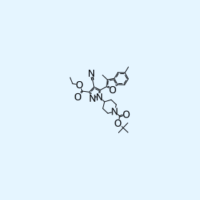 CCOC(=O)c1nn(C2CCN(C(=O)OC(C)(C)C)CC2)c(-c2oc3ccc(C)cc3c2C)c1C#N